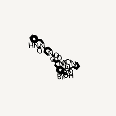 COC(=O)[C@@H]1CCCN1C=C=C=NC(=O)[C@@H](Cc1cc(Br)c(O)c(Br)c1)OC(=O)N1CCC(N2CCc3ccccc3NC2=O)CC1